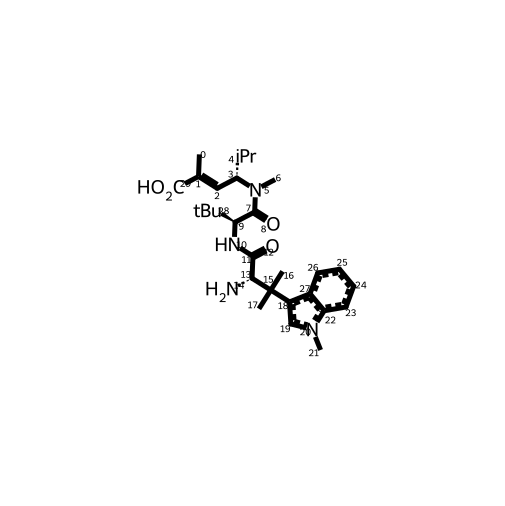 C/C(=C\[C@H](C(C)C)N(C)C(=O)[C@@H](NC(=O)[C@@H](N)C(C)(C)c1cn(C)c2ccccc12)C(C)(C)C)C(=O)O